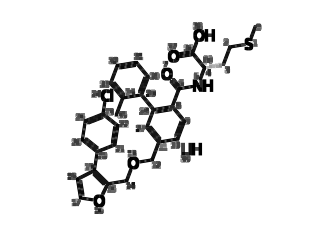 CSCC[C@H](NC(=O)c1ccc(COCc2occc2-c2ccc(Cl)cc2)cc1-c1ccccc1C)C(=O)O.[LiH]